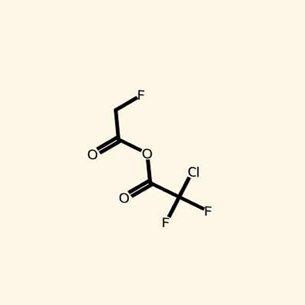 O=C(CF)OC(=O)C(F)(F)Cl